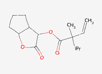 C=CC(C)(C(=O)OC1C(=O)OC2CCCC21)C(C)C